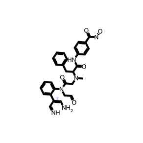 CN(CC(=O)N(CC=O)c1ccccc1/C(C=N)=C/N)C(Cc1ccccc1)C(=O)Nc1ccc(C(=O)N=O)cc1